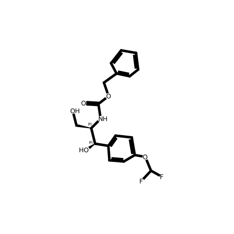 O=C(N[C@H](CO)[C@H](O)c1ccc(OC(F)F)cc1)OCc1ccccc1